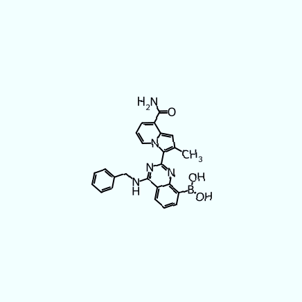 Cc1cc2c(C(N)=O)cccn2c1-c1nc(NCc2ccccc2)c2cccc(B(O)O)c2n1